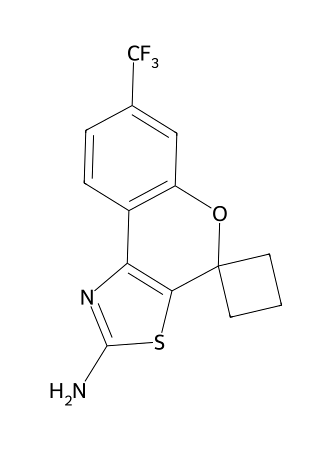 Nc1nc2c(s1)C1(CCC1)Oc1cc(C(F)(F)F)ccc1-2